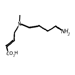 CN(CC=CC(=O)O)CCCCN